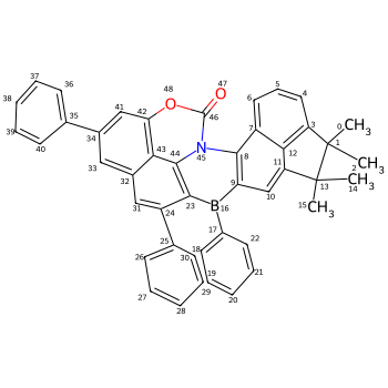 CC1(C)c2cccc3c4c(cc(c23)C1(C)C)B(c1ccccc1)c1c(-c2ccccc2)cc2cc(-c3ccccc3)cc3c2c1N4C(=O)O3